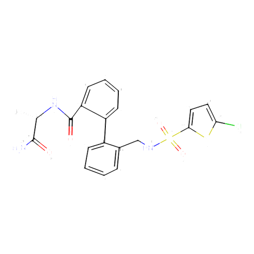 CC(C)[C@H](NC(=O)c1ccccc1-c1ccccc1CNS(=O)(=O)c1ccc(Cl)s1)C(N)=O